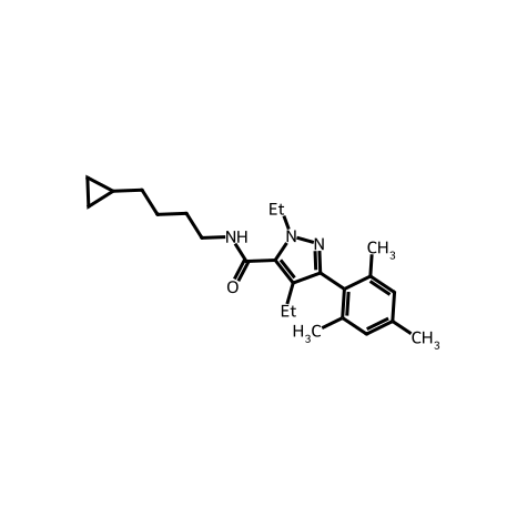 CCc1c(-c2c(C)cc(C)cc2C)nn(CC)c1C(=O)NCCCCC1CC1